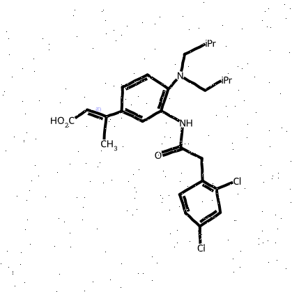 C/C(=C\C(=O)O)c1ccc(N(CC(C)C)CC(C)C)c(NC(=O)Cc2ccc(Cl)cc2Cl)c1